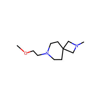 COCCN1CCC2(CC1)CN(C)C2